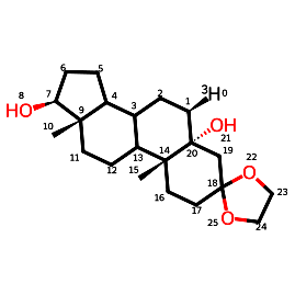 [3H][C@@H]1CC2C3CC[C@H](O)[C@@]3(C)CCC2[C@@]2(C)CCC3(C[C@]12O)OCCO3